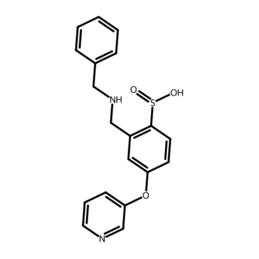 O=S(O)c1ccc(Oc2cccnc2)cc1CNCc1ccccc1